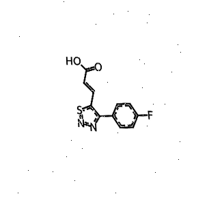 O=C(O)/C=C/c1snnc1-c1ccc(F)cc1